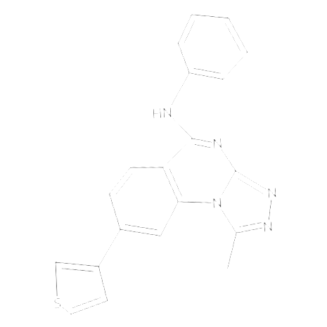 Cc1nnc2nc(Nc3ccccc3)c3ccc(-c4ccsc4)cc3n12